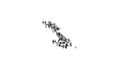 CC1=NCC(=O)C(C)=C1C(=O)N1CC2CN(CCC(=O)Nc3ccc(C)c(Cl)c3)CC2C1